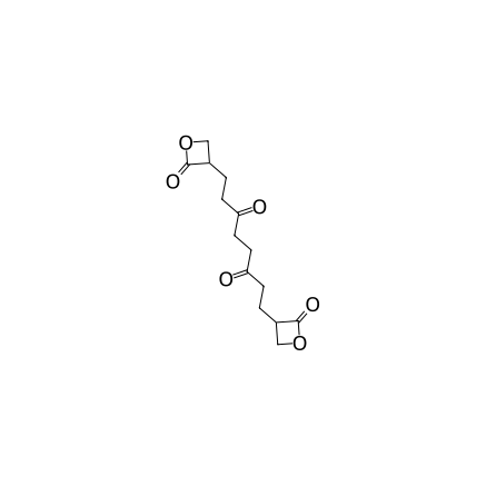 O=C(CCC(=O)CCC1COC1=O)CCC1COC1=O